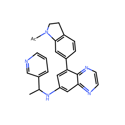 CC(=O)N1CCc2ccc(-c3cc(NC(C)c4cccnc4)cc4nccnc34)cc21